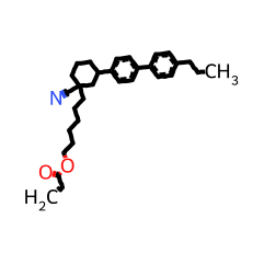 C=CC(=O)OCCCCCCC1(C#N)CCCC(c2ccc(-c3ccc(CCC)cc3)cc2)C1